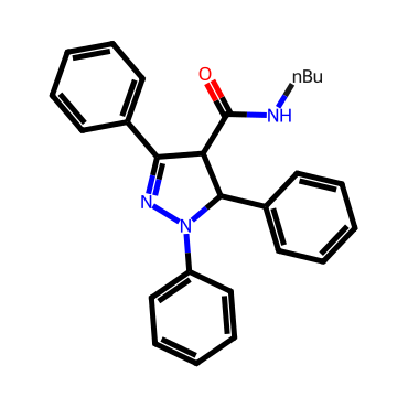 CCCCNC(=O)C1C(c2ccccc2)=NN(c2ccccc2)C1c1ccccc1